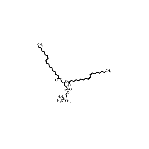 CCCCCC/C=C\C=C/CCCCCCCC(=O)OC[C@H](COP(=O)([O-])OCC[N+](C)(C)C)OC(=O)CCCCCCC/C=C\C=C/CCCCCC